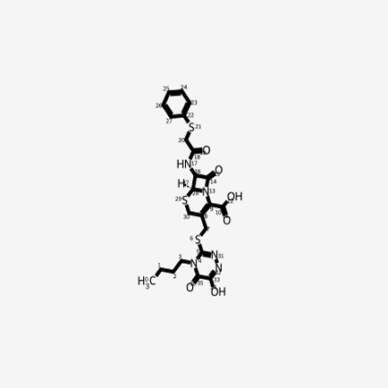 CCCCn1c(SCC2=C(C(=O)O)N3C(=O)C(NC(=O)CSc4ccccc4)[C@@H]3SC2)nnc(O)c1=O